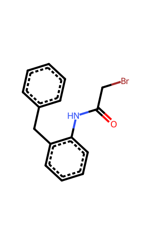 O=C(CBr)Nc1ccccc1Cc1ccccc1